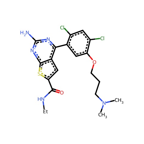 CCNC(=O)c1cc2c(-c3cc(OCCCN(C)C)c(Cl)cc3Cl)nc(N)nc2s1